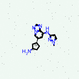 Cn1ccc(Nc2cc([C@H]3CC[C@@H](N)C3)cn3ncnc23)n1